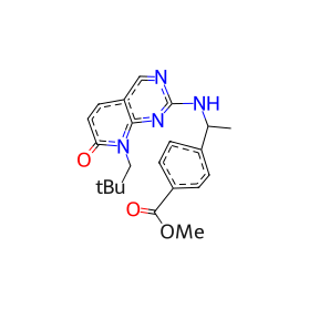 COC(=O)c1ccc(C(C)Nc2ncc3ccc(=O)n(CC(C)(C)C)c3n2)cc1